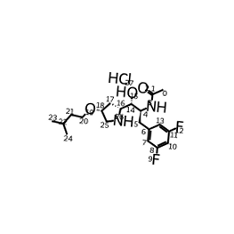 CC(=O)N[C@@H](Cc1cc(F)cc(F)c1)[C@@H](O)[C@H]1C[C@@H](OCCC(C)C)CN1.Cl